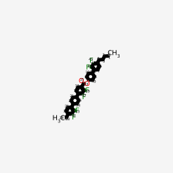 CCCCCc1ccc(C2CCC(OC(=O)c3ccc(C4CCC(c5ccc(CC)c(F)c5F)CC4)c(F)c3F)CC2)c(F)c1F